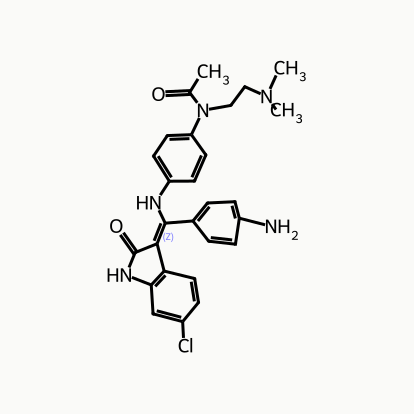 CC(=O)N(CCN(C)C)c1ccc(N/C(=C2\C(=O)Nc3cc(Cl)ccc32)c2ccc(N)cc2)cc1